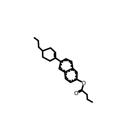 CCCC(=O)Oc1ccc2cc(C3=CCC(CCC)CC3)ccc2c1